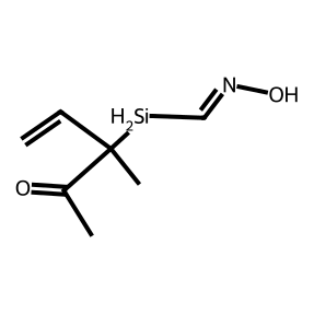 C=CC(C)([SiH2]C=NO)C(C)=O